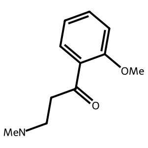 CNCCC(=O)c1ccccc1OC